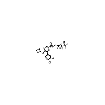 O=C(NCc1nc(C(F)(F)F)no1)c1cnc(OC2CCC2)c(-c2ccc(Cl)c(F)c2)c1